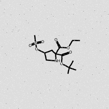 CCOC(=O)C1(C(=O)OC(C)(C)C)CC(OS(C)(=O)=O)CN1